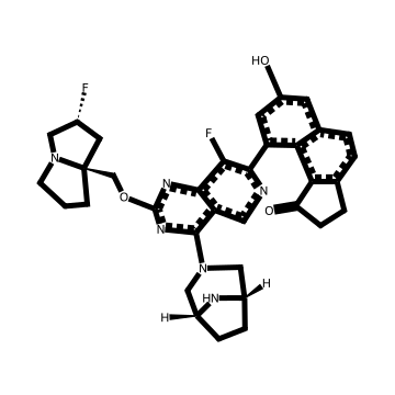 O=C1CCc2ccc3cc(O)cc(-c4ncc5c(N6C[C@H]7CC[C@@H](C6)N7)nc(OC[C@@]67CCCN6C[C@H](F)C7)nc5c4F)c3c21